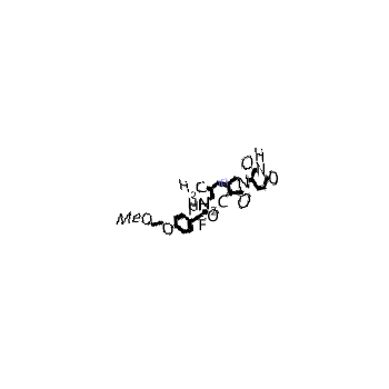 C=C(/C=C1/CN(C2CCC(=O)NC2=O)C(=O)C1=C)CNC(=O)C(F)(F)c1ccc(OCCOC)cc1